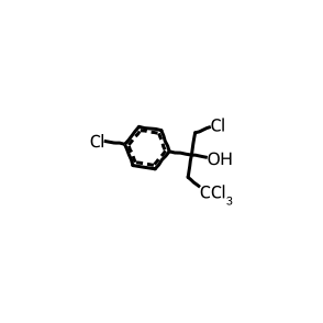 OC(CCl)(CC(Cl)(Cl)Cl)c1ccc(Cl)cc1